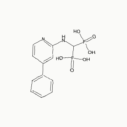 O=P(O)(O)C(Nc1cc(-c2ccccc2)ccn1)P(=O)(O)O